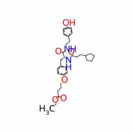 CCOC(=O)CCCOc1ccc(C[C@H](NC(=O)CCC2CCCC2)C(=O)NCCc2ccc(O)cc2)cc1